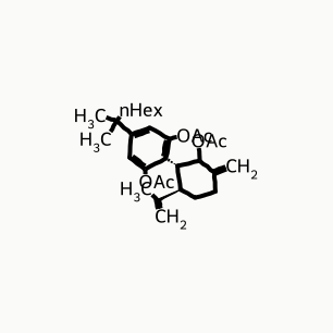 C=C1CC[C@@H](C(=C)C)[C@H](c2c(OC(C)=O)cc(C(C)(C)CCCCCC)cc2OC(C)=O)C1OC(C)=O